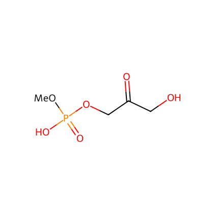 COP(=O)(O)OCC(=O)CO